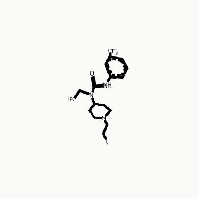 CC(C)CN(C(=O)Nc1cccc(C(F)(F)F)c1)C1CCN(CCI)CC1